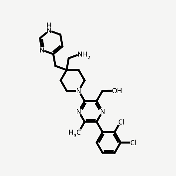 Cc1nc(N2CCC(CN)(CC3=CCNC=N3)CC2)c(CO)nc1-c1cccc(Cl)c1Cl